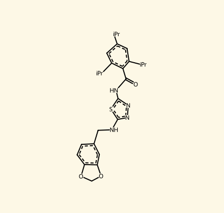 CC(C)c1cc(C(C)C)c(C(=O)Nc2nnc(NCc3ccc4c(c3)OCO4)s2)c(C(C)C)c1